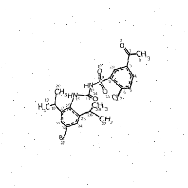 CC(=O)c1ccc(Cl)c(S(=O)(=O)NC(=O)Nc2c(C(C)C)cc(Br)cc2C(C)C)c1